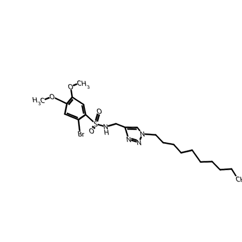 CCCCCCCCCCn1cc(CNS(=O)(=O)c2cc(OC)c(OC)cc2Br)nn1